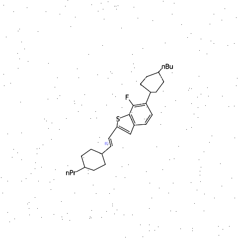 CCCCC1CCC(c2ccc3cc(/C=C/C4CCC(CCC)CC4)sc3c2F)CC1